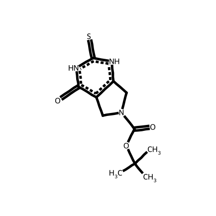 CC(C)(C)OC(=O)N1Cc2[nH]c(=S)[nH]c(=O)c2C1